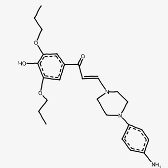 CCCOc1cc(C(=O)C=CN2CCN(c3ccc(N)cc3)CC2)cc(OCCC)c1O